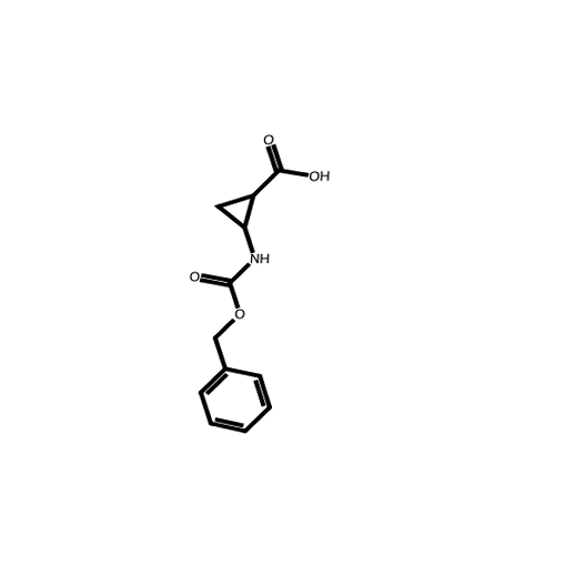 O=C(NC1CC1C(=O)O)OCc1ccccc1